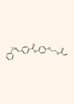 C=CC(=O)OCCOc1ccc(OC(=O)c2ccc(C=N[C@@H](C)c3ccccc3)cc2)cc1